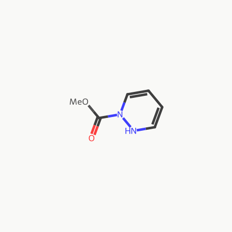 COC(=O)N1C=CC=CN1